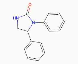 O=C1NCC(c2ccccc2)N1c1ccccc1